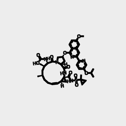 COc1ccc2c(O[C@@H]3C[C@H]4C(=O)N[C@]5(C(=O)NS(=O)(=O)C6(C)CC6)C[C@H]5/C=C\CC[C@@H](C)C[C@@H](C)[C@H](NC(=O)O)C(=O)N4C3)nc(-c3ccc(OC(C)C)cn3)cc2c1